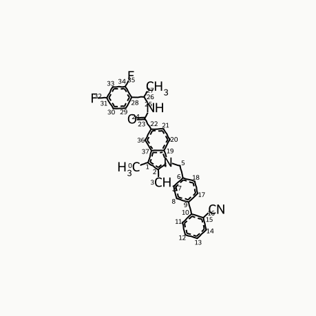 Cc1c(C)n(Cc2ccc(-c3ccccc3C#N)cc2)c2ccc(C(=O)NC(C)c3ccc(F)cc3F)cc12